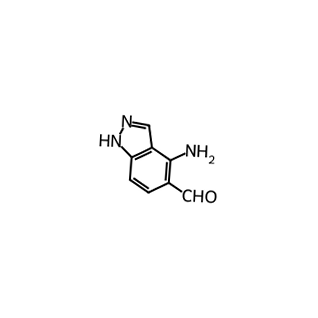 Nc1c(C=O)ccc2[nH]ncc12